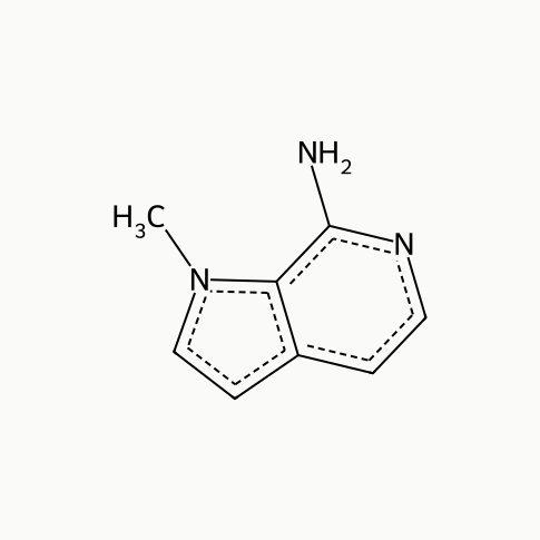 Cn1ccc2ccnc(N)c21